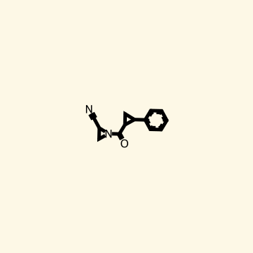 N#CC1CN1C(=O)C1CC1c1ccccc1